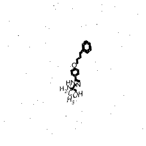 C[C@](N)(CO)c1ncc(-c2ccc(OCCCCc3ccccc3)cc2)[nH]1